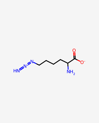 N=[N+]=NCCCCC(N)C(=O)[O-]